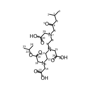 CC(C)CC(=O)CN(CCN(CCN(CC(=O)O)CC(=O)OC(C)C)CC(=O)O)CC(=O)O